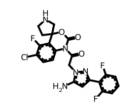 Nc1cc(-c2c(F)cccc2F)nn1CC(=O)N1C(=O)OC2(CCNC2)c2c1ccc(Cl)c2F